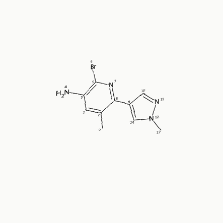 Cc1cc(N)c(Br)nc1-c1cnn(C)c1